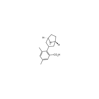 Cc1cc(C)c(C2C[C@H]3CC[C@H](C2)N3C)c(C(=O)O)c1